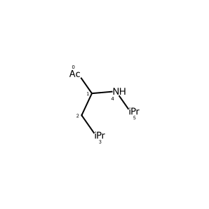 CC(=O)C(CC(C)C)NC(C)C